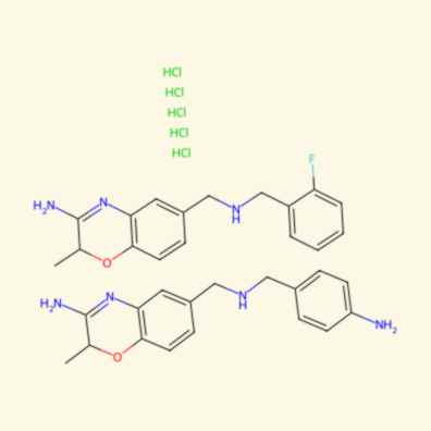 CC1Oc2ccc(CNCc3ccc(N)cc3)cc2N=C1N.CC1Oc2ccc(CNCc3ccccc3F)cc2N=C1N.Cl.Cl.Cl.Cl.Cl